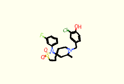 CC1CC2(CCN1Cc1ccc(O)c(Cl)c1)CCS(=O)(=O)N2c1cccc(F)c1